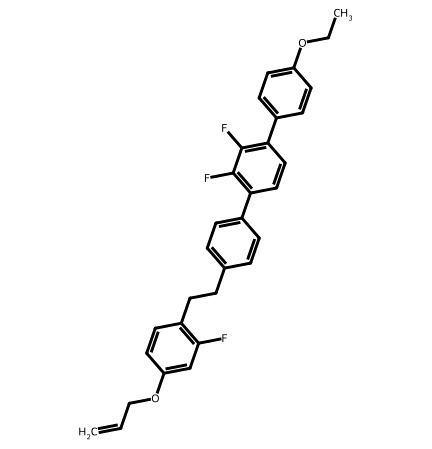 C=CCOc1ccc(CCc2ccc(-c3ccc(-c4ccc(OCC)cc4)c(F)c3F)cc2)c(F)c1